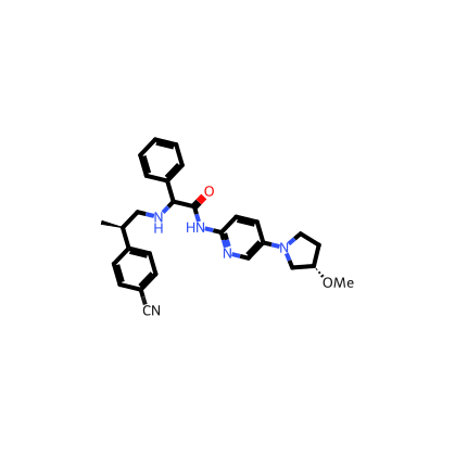 CO[C@H]1CCN(c2ccc(NC(=O)C(NC[C@H](C)c3ccc(C#N)cc3)c3ccccc3)nc2)C1